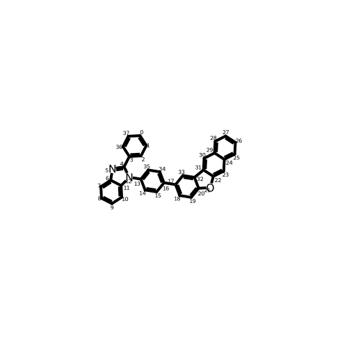 c1ccc(-c2nc3ccccc3n2-c2ccc(-c3ccc4oc5cc6ccccc6cc5c4c3)cc2)cc1